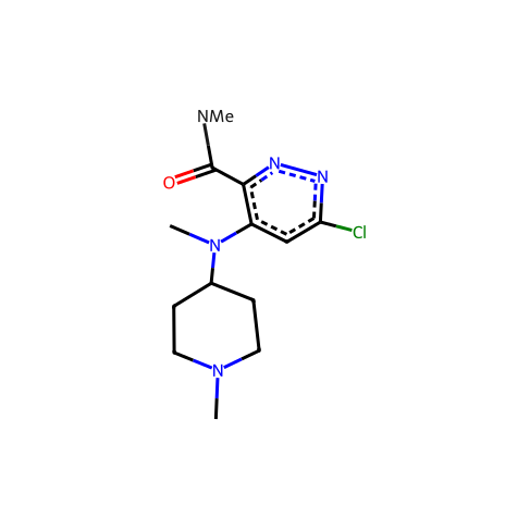 CNC(=O)c1nnc(Cl)cc1N(C)C1CCN(C)CC1